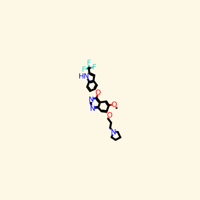 COc1cc2c(Oc3ccc4[nH]c(C(F)(F)F)cc4c3)ncnc2cc1OCCCN1CCCC1